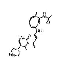 CC/C=C(\N=C1/CC(C)C(C2CCNCC2)=CN1)NC1=CCC=C(C)C(NC(C)=O)=C1